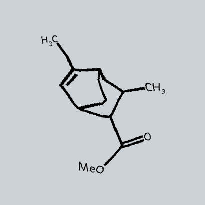 COC(=O)C1C2C=C(C)C(C2)C1C